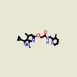 Cc1cccnc1CNC(=O)COc1cc(C)c2c(C3CC3)nn(C)c2n1